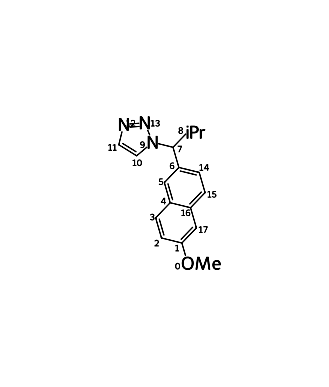 COc1ccc2cc(C(C(C)C)n3ccnn3)ccc2c1